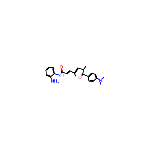 CC(/C=C/C(=O)Nc1ccccc1N)=C\C(C)C(=O)c1ccc(N(C)C)cc1